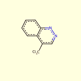 ClC(Cl)(Cl)c1cnnc2ccccc12